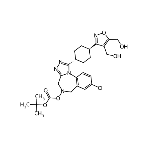 CC(C)(C)OC(=O)ON1Cc2cc(Cl)ccc2-n2c(nnc2[C@H]2CC[C@H](c3noc(CO)c3CO)CC2)C1